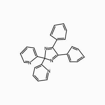 c1ccc(C2=NC(c3ccccn3)(c3ccccn3)N=C2c2ccccc2)cc1